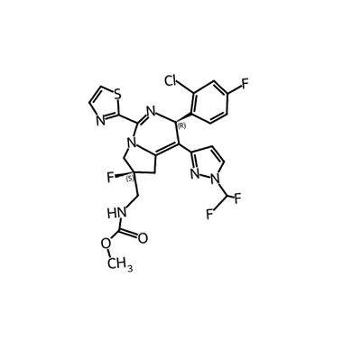 COC(=O)NC[C@@]1(F)CC2=C(c3ccn(C(F)F)n3)[C@H](c3ccc(F)cc3Cl)N=C(c3nccs3)N2C1